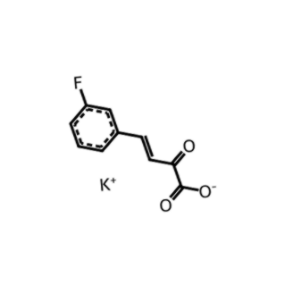 O=C([O-])C(=O)/C=C/c1cccc(F)c1.[K+]